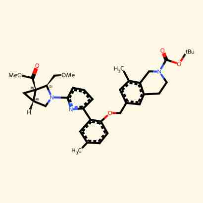 COC[C@H]1N(c2cccc(-c3cc(C)ccc3OCc3cc(C)c4c(c3)CCN(C(=O)OC(C)(C)C)C4)n2)C[C@@H]2C[C@@]21C(=O)OC